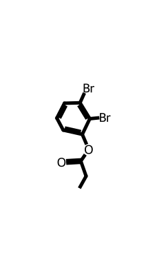 CCC(=O)Oc1cccc(Br)c1Br